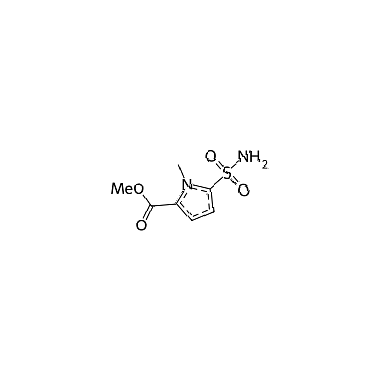 COC(=O)c1ccc(S(N)(=O)=O)n1C